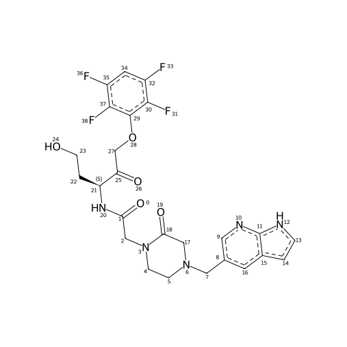 O=C(CN1CCN(Cc2cnc3[nH]ccc3c2)CC1=O)N[C@@H](CCO)C(=O)COc1c(F)c(F)cc(F)c1F